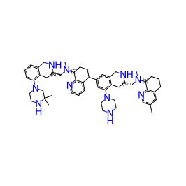 Cc1cnc2c(c1)CCC[C@@H]2N(C)C[C@@H]1Cc2c(cc(C3CC[C@H](N(C)C[C@H]4Cc5c(cccc5N5CCNC(C)(C)C5)CN4)c4ncccc43)cc2N2CCNCC2)CN1